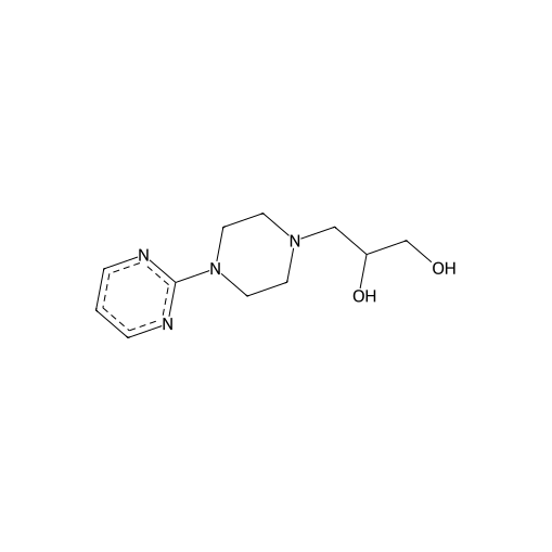 OCC(O)CN1CCN(c2ncccn2)CC1